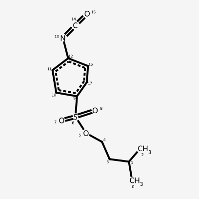 CC(C)CCOS(=O)(=O)c1ccc(N=C=O)cc1